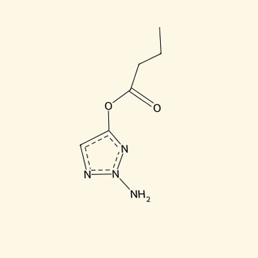 CCCC(=O)Oc1cnn(N)n1